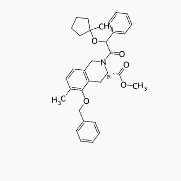 COC(=O)[C@@H]1Cc2c(ccc(C)c2OCc2ccccc2)CN1C(=O)C(OC1(C)CCCC1)c1ccccc1